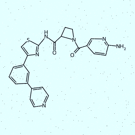 Nc1ccc(C(=O)N2CCC2C(=O)Nc2nc(-c3cccc(-c4ccncc4)c3)cs2)cn1